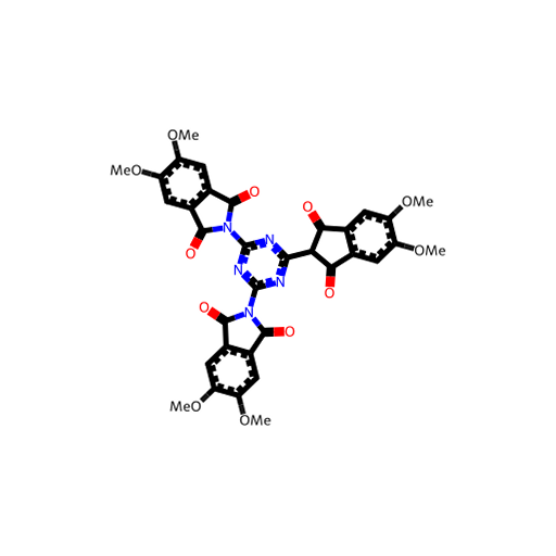 COc1cc2c(cc1OC)C(=O)C(c1nc(N3C(=O)c4cc(OC)c(OC)cc4C3=O)nc(N3C(=O)c4cc(OC)c(OC)cc4C3=O)n1)C2=O